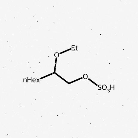 CCCCCCC(COS(=O)(=O)O)OCC